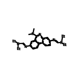 CCN(C=Nc1ccc2c(c1)nc(N(C)C)c1cc(N=CN(CC)CC)ccc12)CC